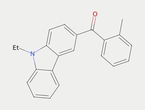 CCn1c2ccccc2c2cc(C(=O)c3ccccc3C)ccc21